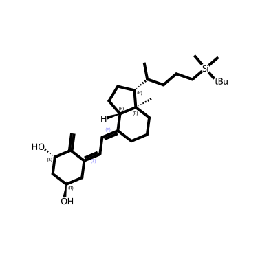 C=C1/C(=C\C=C2/CCC[C@]3(C)[C@@H](C(C)CCC[Si](C)(C)C(C)(C)C)CC[C@@H]23)C[C@@H](O)C[C@@H]1O